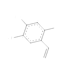 C=Cc1cc(F)c(O)cc1F